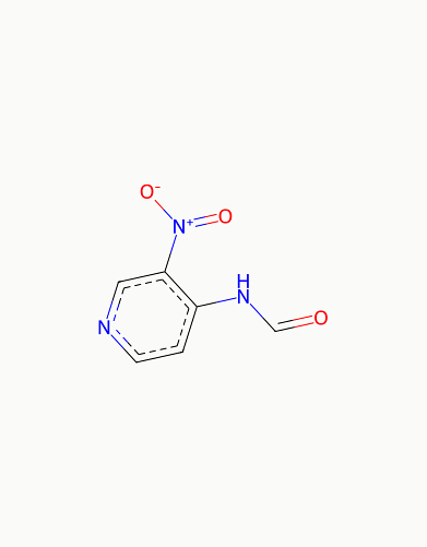 O=CNc1ccncc1[N+](=O)[O-]